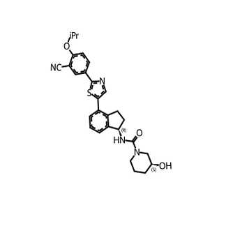 CC(C)Oc1ccc(-c2ncc(-c3cccc4c3CC[C@H]4NC(=O)N3CCC[C@H](O)C3)s2)cc1C#N